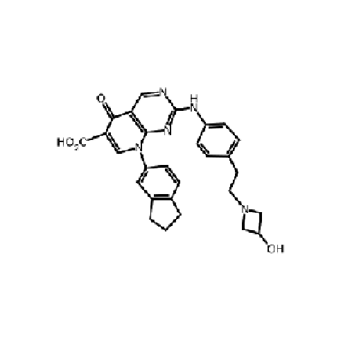 O=C(O)c1cn(-c2ccc3c(c2)CCC3)c2nc(Nc3ccc(CCN4CC(O)C4)cc3)ncc2c1=O